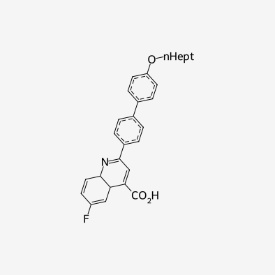 CCCCCCCOc1ccc(-c2ccc(C3=NC4C=CC(F)=CC4C(C(=O)O)=C3)cc2)cc1